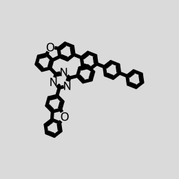 c1ccc(-c2ccc(-c3ccc(-c4ccc5oc6cccc(-c7nc(-c8ccccc8)nc(-c8ccc9c(c8)oc8ccccc89)n7)c6c5c4)cc3)cc2)cc1